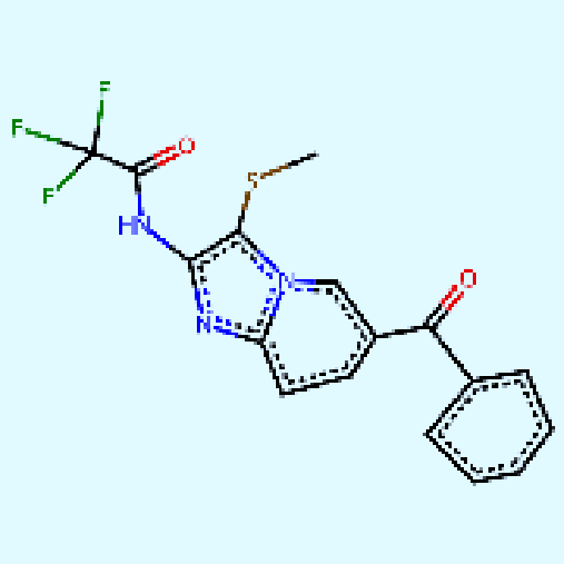 CSc1c(NC(=O)C(F)(F)F)nc2ccc(C(=O)c3ccccc3)cn12